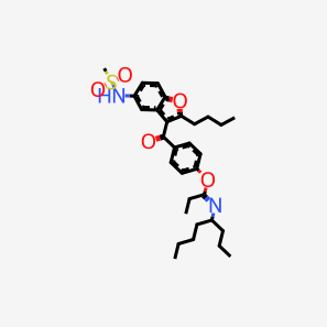 CCCCc1oc2ccc(NS(C)(=O)=O)cc2c1C(=O)c1ccc(O/C(CC)=N/C(CCC)CCCC)cc1